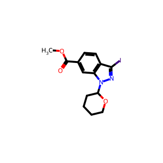 COC(=O)c1ccc2c(I)nn(C3CCCCO3)c2c1